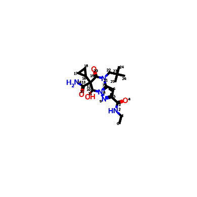 CCNC(=O)c1cc2n(n1)C(O)C(C(N)=O)(C1CC1)C(=O)N2CC(C)(C)C